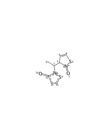 CC(C1C=CS[N+]1=O)n1sccc1=O